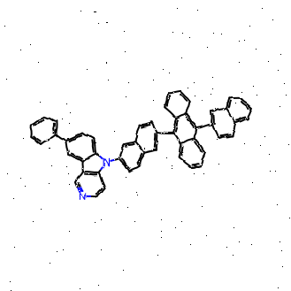 c1ccc(-c2ccc3c(c2)c2cnccc2n3-c2ccc3cc(-c4c5ccccc5c(-c5ccc6ccccc6c5)c5ccccc45)ccc3c2)cc1